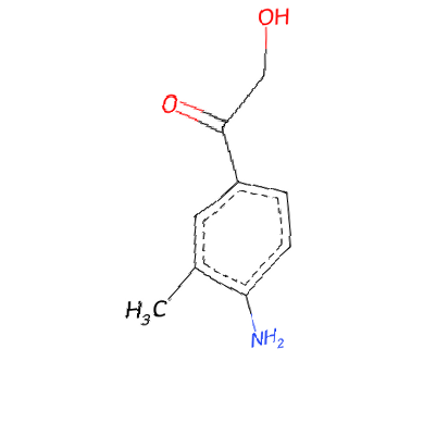 Cc1cc(C(=O)CO)ccc1N